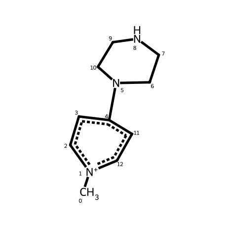 C[n+]1ccc(N2CCNCC2)cc1